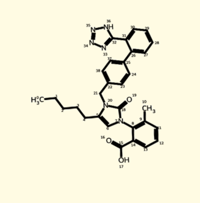 CCCCCc1cn(-c2c(C)cccc2C(=O)O)c(=O)n1Cc1ccc(-c2ccccc2-c2nnn[nH]2)cc1